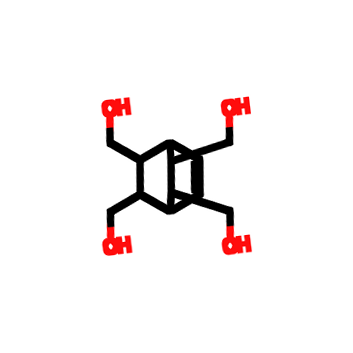 OCC1C2C=CC(C1CO)C(CO)C2CO